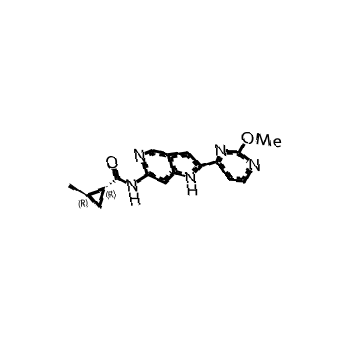 COc1nccc(-c2cc3cnc(NC(=O)[C@@H]4C[C@H]4C)cc3[nH]2)n1